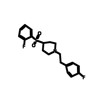 O=S(=O)(c1ccccc1F)C1CCN(CCc2ccc(F)cc2)CC1